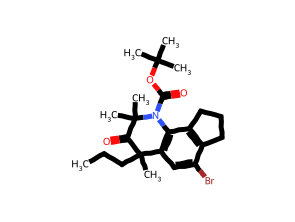 CCCC1(C)C(=O)C(C)(C)N(C(=O)OC(C)(C)C)c2c1cc(Br)c1c2CCC1